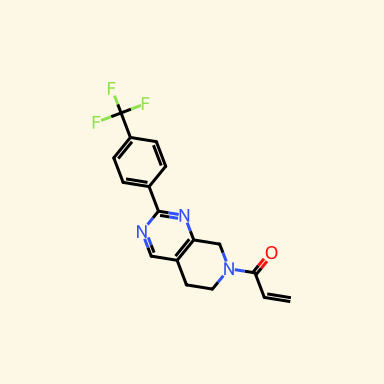 C=CC(=O)N1CCc2cnc(-c3ccc(C(F)(F)F)cc3)nc2C1